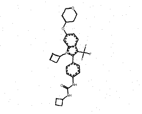 O=C(Nc1ccc(-c2c(C(F)(F)F)c3ccc(OC4CCOCC4)cc3n2C2CCC2)cc1)NC1CCC1